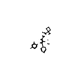 CC[S+]([O-])c1c(-c2nnc(C3(C(F)(F)F)CCC3)s2)nn(-c2ccc(Cl)cc2Cl)c1C1C=CC(Cl)=CC1